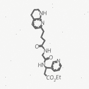 CCOC(=O)CC(NC(=O)CNC(=O)CCCc1ccc2c(n1)NCCC2)c1cccnc1